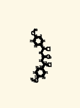 COc1ccc(C(Cl)CC(=O)CC(Cl)c2ccc(OC)cc2)cc1